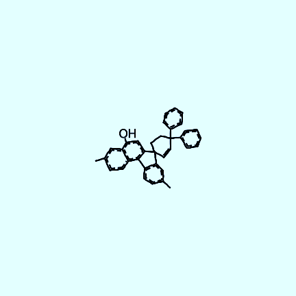 Cc1ccc2c(c1)C1(C=CC(c3ccccc3)(c3ccccc3)CC1)c1cc(O)c3cc(C)ccc3c1-2